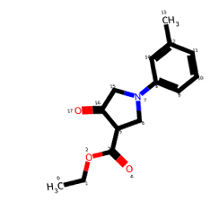 CCOC(=O)C1CN(c2cccc(C)c2)CC1=O